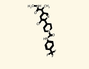 CNC(=O)C(C)c1cnc(C2=CCN(C(=O)Nc3ccc(C(F)(F)F)cc3)CC2)c(Cl)c1